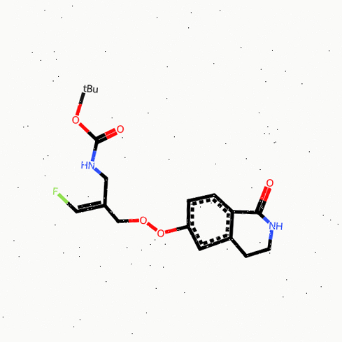 CC(C)(C)OC(=O)NC/C(=C\F)COOc1ccc2c(c1)CCNC2=O